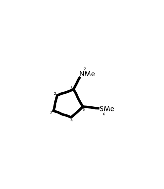 CNC1CCCC1SC